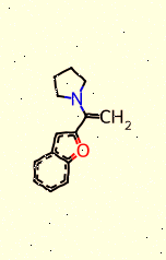 C=C(c1cc2ccccc2o1)N1CCCC1